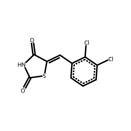 O=C1NC(=O)/C(=C/c2cccc(Cl)c2Cl)S1